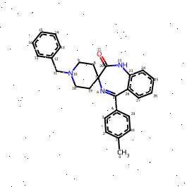 Cc1ccc(C2=NC3(CCN(Cc4ccccc4)CC3)C(=O)Nc3ccccc32)cc1